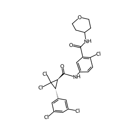 O=C(NC1CCOCC1)c1cc(NC(=O)[C@H]2[C@H](c3cc(Cl)cc(Cl)c3)C2(Cl)Cl)ccc1Cl